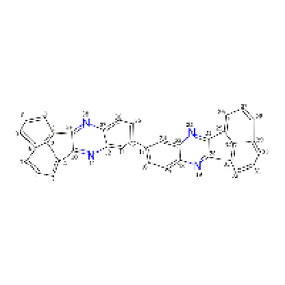 c1cc2c3c(cccc3c1)-c1nc3cc(-c4ccc5nc6c(nc5c4)-c4cccc5cccc-6c45)ccc3nc1-2